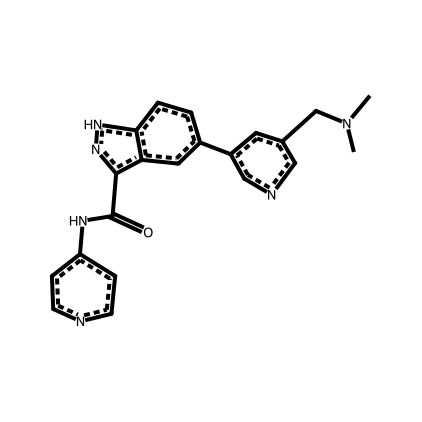 CN(C)Cc1cncc(-c2ccc3[nH]nc(C(=O)Nc4ccncc4)c3c2)c1